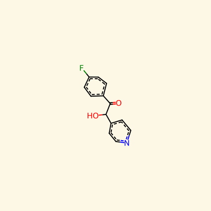 O=C(c1ccc(F)cc1)C(O)c1ccncc1